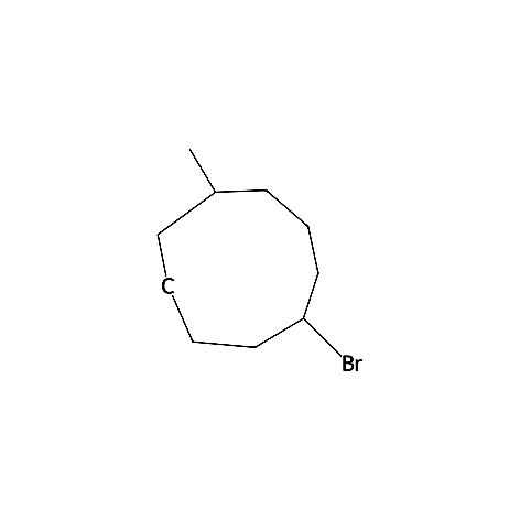 CC1CCCCC(Br)CCC1